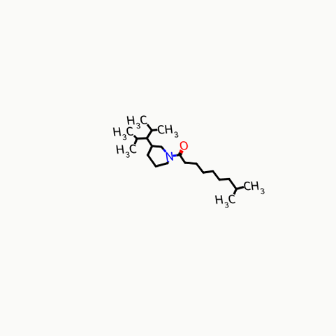 CC(C)CCCCCCC(=O)N1CCCC(C(C(C)C)C(C)C)C1